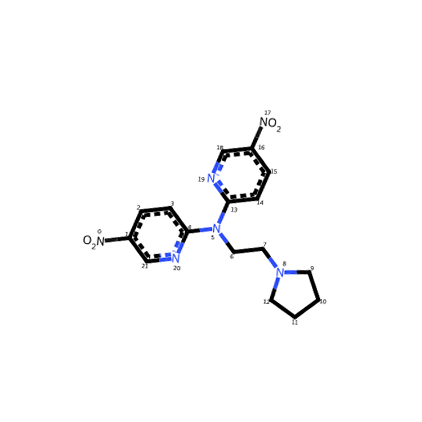 O=[N+]([O-])c1ccc(N(CCN2CCCC2)c2ccc([N+](=O)[O-])cn2)nc1